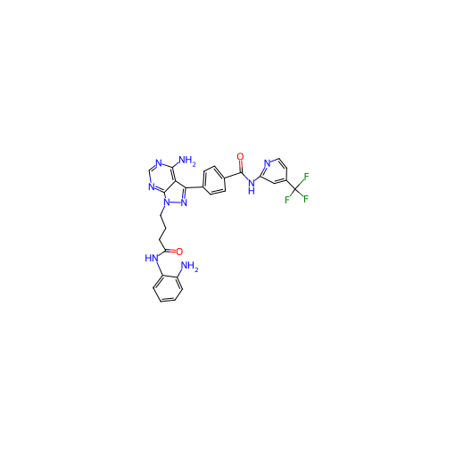 Nc1ccccc1NC(=O)CCCn1nc(-c2ccc(C(=O)Nc3cc(C(F)(F)F)ccn3)cc2)c2c(N)ncnc21